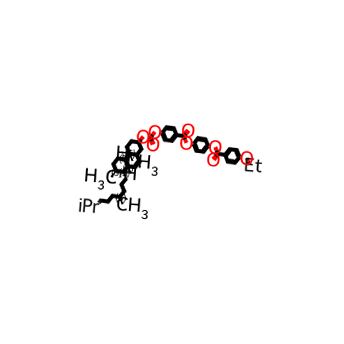 CCOc1ccc(C(=O)Oc2ccc(OC(=O)c3ccc(OC(=O)OC4CC[C@]5(C)C(C=C[C@@H]6[C@@H](CCC[C@@H](C)CCCC(C)C)[C@@H](C)CC[C@H]65)C4)cc3)cc2)cc1